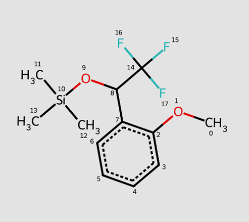 COc1ccccc1C(O[Si](C)(C)C)C(F)(F)F